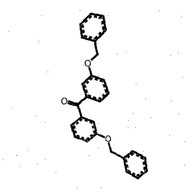 O=C(c1cccc(OCc2ccccc2)c1)c1cccc(OCc2ccccc2)c1